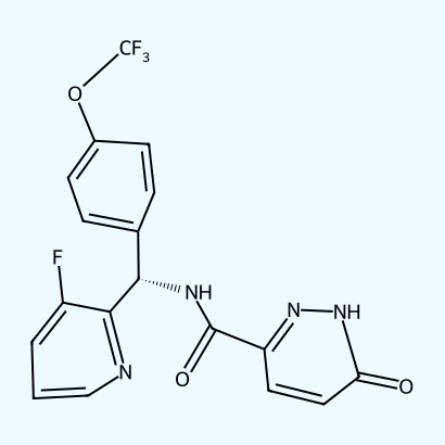 O=C(N[C@@H](c1ccc(OC(F)(F)F)cc1)c1ncccc1F)c1ccc(=O)[nH]n1